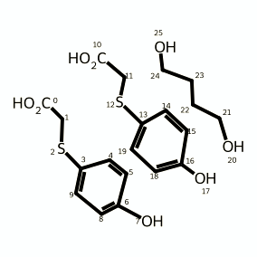 O=C(O)CSc1ccc(O)cc1.O=C(O)CSc1ccc(O)cc1.OCCCCO